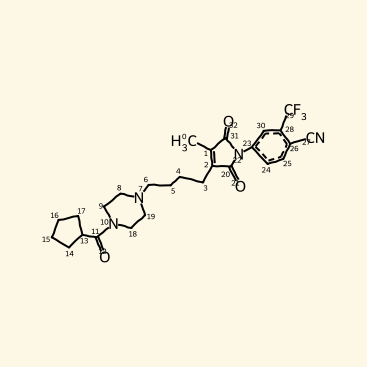 CC1=C(CCCCN2CCN(C(=O)C3CCCC3)CC2)C(=O)N(c2ccc(C#N)c(C(F)(F)F)c2)C1=O